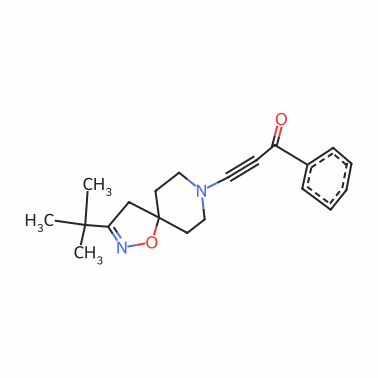 CC(C)(C)C1=NOC2(CCN(C#CC(=O)c3ccccc3)CC2)C1